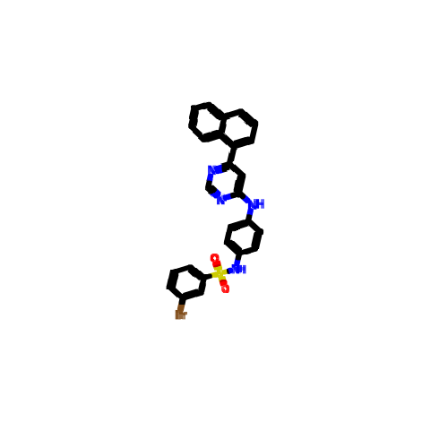 O=S(=O)(Nc1ccc(Nc2cc(-c3cccc4ccccc34)ncn2)cc1)c1cccc(Br)c1